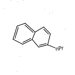 CCCc1ccc2ccccc2c1